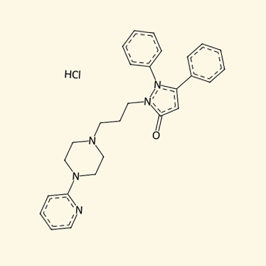 Cl.O=c1cc(-c2ccccc2)n(-c2ccccc2)n1CCCN1CCN(c2ccccn2)CC1